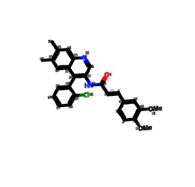 COc1ccc(/C=C/C(=O)Nc2cnc3cc(C)c(C)cc3c2-c2ccccc2Cl)cc1OC